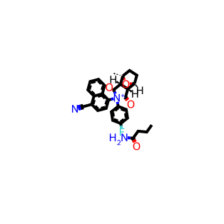 CCCC(N)=O.C[C@]12CC[C@H](O1)[C@@H]1C(=O)[N+](c3ccc(F)cc3)(c3ccc(C#N)c4ccccc34)C(=O)[C@@H]12